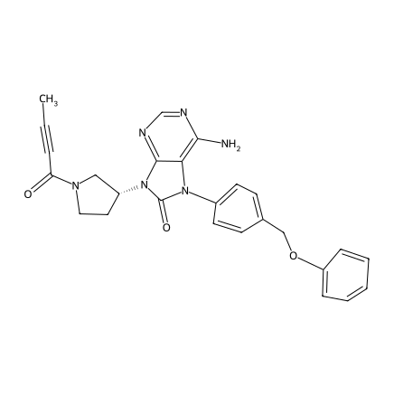 CC#CC(=O)N1CC[C@@H](n2c(=O)n(-c3ccc(COc4ccccc4)cc3)c3c(N)ncnc32)C1